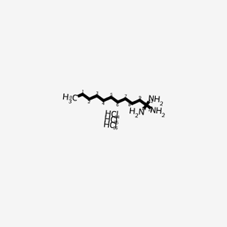 CCCCCCCCCCC(N)(N)N.Cl.Cl.Cl